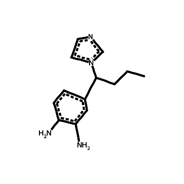 CCCC(c1ccc(N)c(N)c1)n1ccnc1